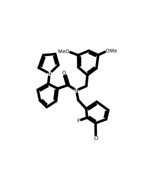 COc1cc(CN(Cc2cccc(Cl)c2F)C(=O)c2ccccc2-n2cccc2)cc(OC)c1